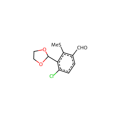 CSc1c(C=O)ccc(Cl)c1C1OCCO1